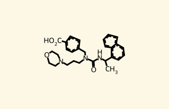 CC(NC(=O)N(CCCN1CCOCC1)Cc1ccc(C(=O)O)cc1)c1cccc2ccccc12